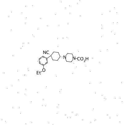 CCOc1cccc([C@]2(C#N)CC[C@@H](N3CCN(C(=O)O)CC3)CC2)c1